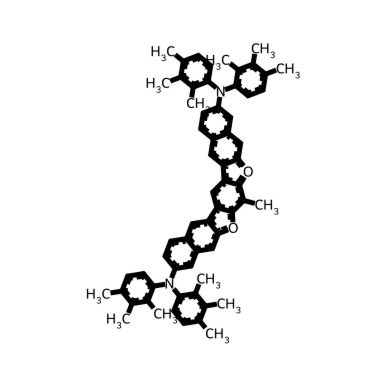 Cc1ccc(N(c2ccc3cc4c(cc3c2)oc2c(C)c3oc5cc6cc(N(c7ccc(C)c(C)c7C)c7ccc(C)c(C)c7C)ccc6cc5c3cc24)c2ccc(C)c(C)c2C)c(C)c1C